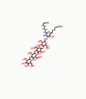 CCCCCCCCCCCCC/C=C/[C@@H](O)[C@H](CO[C@@H]1OC(CO)[C@@H](O[C@@H]2OC(CO)[C@H](O[C@@H]3OC(CO)[C@H](O)[C@H](O[C@H]4OC(CO)[C@H](O)[C@H](O)C4O)C3O)[C@H](O)C2O)[C@H](O)C1O)NC(=O)CCCCCCCCCCCCCCC